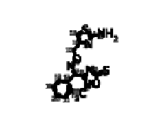 Cn1oc(=S)nc1C(=NOCc1csc(N)n1)c1ccccc1